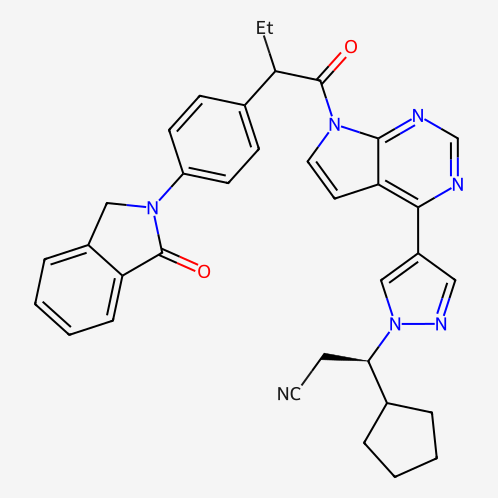 CCC(C(=O)n1ccc2c(-c3cnn([C@H](CC#N)C4CCCC4)c3)ncnc21)c1ccc(N2Cc3ccccc3C2=O)cc1